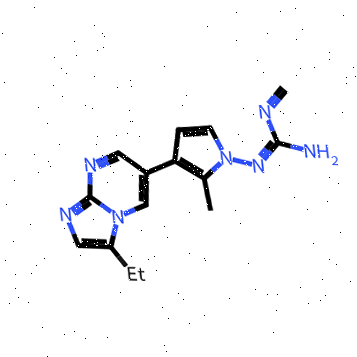 C=N/C(N)=N\n1ccc(-c2cnc3ncc(CC)n3c2)c1C